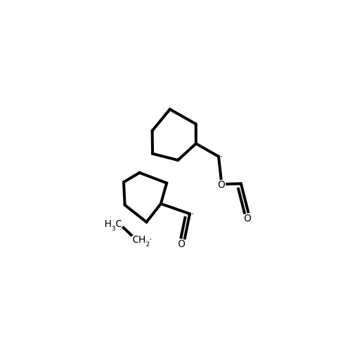 O=CO[CH]C1CCCCC1.O=[C]C1CCCCC1.[CH2]C